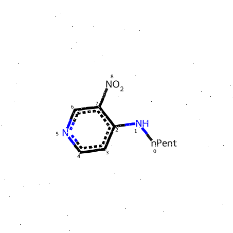 CCCCCNc1ccncc1[N+](=O)[O-]